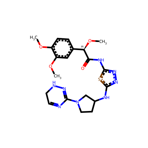 COc1ccc([C@@H](OC)C(=O)Nc2nnc(NC3CCN(C4=NNCC=N4)C3)s2)cc1OC